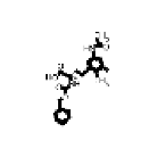 CC(=O)Nc1cc(F)c(C)c(CC[C@H](NC(=O)OCc2ccccc2)C(=O)O)c1